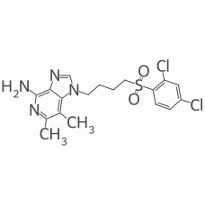 Cc1nc(N)c2ncn(CCCCS(=O)(=O)c3ccc(Cl)cc3Cl)c2c1C